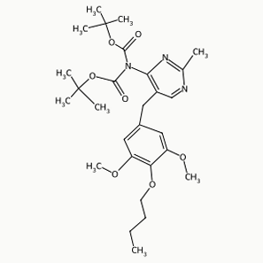 CCCCOc1c(OC)cc(Cc2cnc(C)nc2N(C(=O)OC(C)(C)C)C(=O)OC(C)(C)C)cc1OC